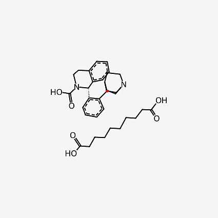 O=C(O)CCCCCCCCC(=O)O.O=C(O)N1CCc2ccccc2[C@@H]1c1ccccc1C1CN2CCC1CC2